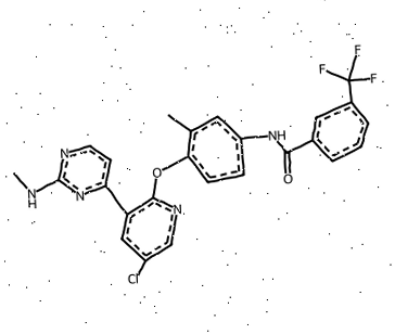 CNc1nccc(-c2cc(Cl)cnc2Oc2ccc(NC(=O)c3cccc(C(F)(F)F)c3)cc2C)n1